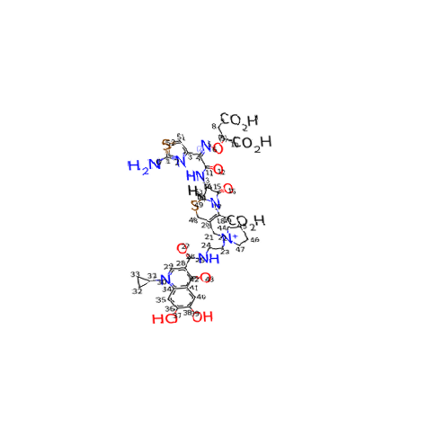 Nc1nc(/C(=N/O[C@@H](CC(=O)O)C(=O)O)C(=O)N[C@@H]2C(=O)N3C(C(=O)O)=C(C[N+]4(CCNC(=O)c5cn(C6CC6)c6cc(O)c(O)cc6c5=O)CCCC4)CS[C@H]23)cs1